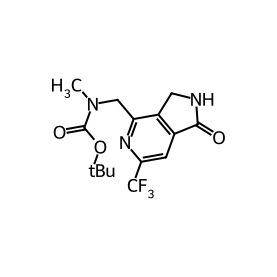 CN(Cc1nc(C(F)(F)F)cc2c1CNC2=O)C(=O)OC(C)(C)C